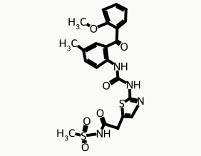 COc1ccccc1C(=O)c1cc(C)ccc1NC(=O)Nc1ncc(CC(=O)NS(C)(=O)=O)s1